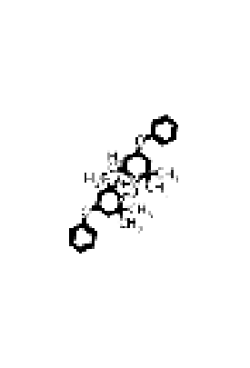 CC1(C)CC(Oc2ccccc2)CC(C)(C)N1ON1C(C)(C)CC(Oc2ccccc2)CC1(C)C